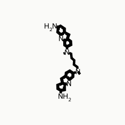 CN(CCCCCN(C)c1ccc2cc3ccc(N)cc3nc2c1)c1ccc2cc3ccc(N)cc3nc2c1